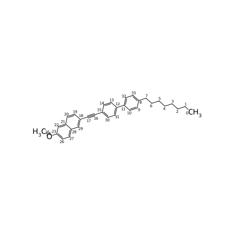 CCCCCCCCc1ccc(-c2ccc(C#Cc3ccc4cc(OC)ccc4c3)cc2)cc1